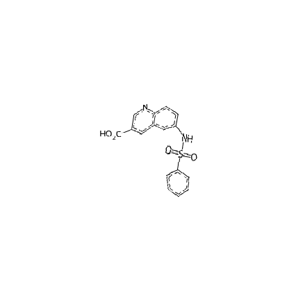 O=C(O)c1cnc2ccc(NS(=O)(=O)c3ccccc3)cc2c1